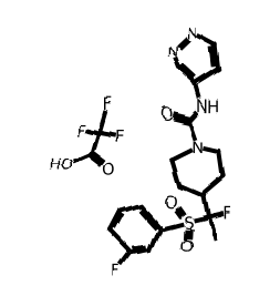 CC(F)(C1CCN(C(=O)Nc2ccnnc2)CC1)S(=O)(=O)c1cccc(F)c1.O=C(O)C(F)(F)F